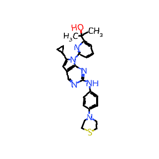 CC(C)(O)c1cccc(-n2c(C3CC3)cc3cnc(Nc4ccc(N5CCSCC5)cc4)nc32)n1